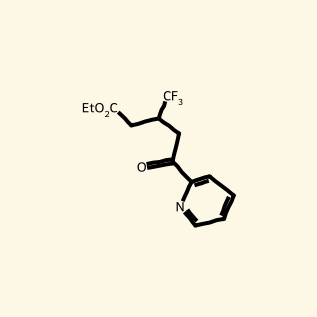 CCOC(=O)CC(CC(=O)c1ccccn1)C(F)(F)F